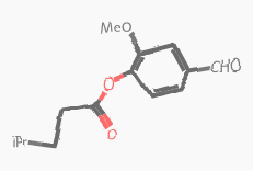 COc1cc(C=O)ccc1OC(=O)CCC(C)C